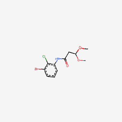 COC(CC(=O)Nc1cccc(Br)c1Cl)OC